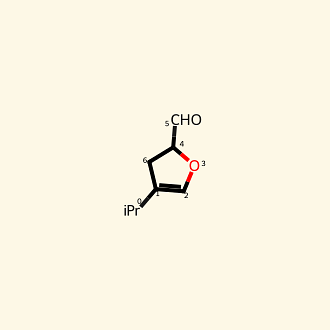 CC(C)C1=COC(C=O)C1